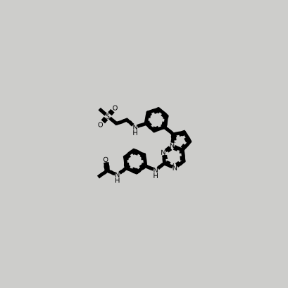 CC(=O)Nc1cccc(Nc2ncc3ccc(-c4cccc(NCCS(C)(=O)=O)c4)n3n2)c1